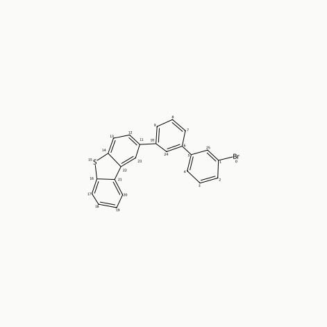 Brc1cccc(-c2cccc(-c3ccc4sc5ccccc5c4c3)c2)c1